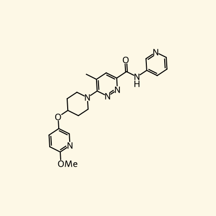 COc1ccc(OC2CCN(c3nnc(C(=O)Nc4cccnc4)cc3C)CC2)cn1